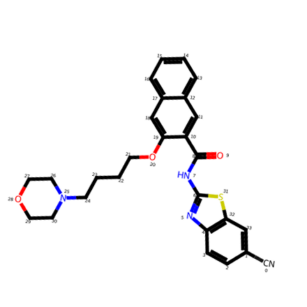 N#Cc1ccc2nc(NC(=O)c3cc4ccccc4cc3OCCCCN3CCOCC3)sc2c1